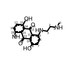 CNCCNc1ccc(O)c2c1C(=O)c1c(O)ccc(N)c1C2=O